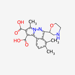 Cc1ccc2c(c(C3CNCCO3)nn3c(C)c(C(=O)O)c(C(=O)O)c23)c1C